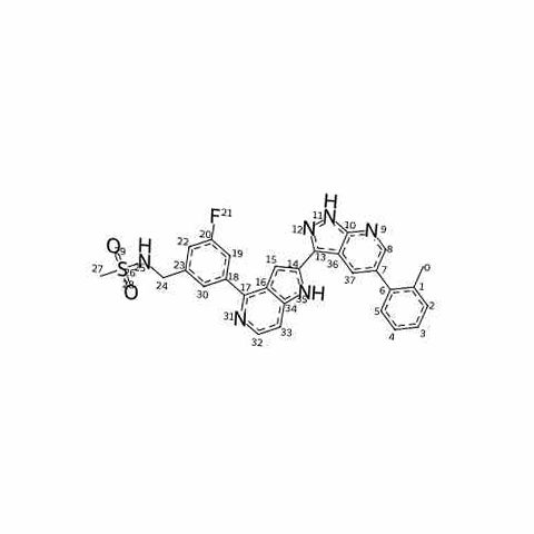 Cc1ccccc1-c1cnc2[nH]nc(-c3cc4c(-c5cc(F)cc(CNS(C)(=O)=O)c5)nccc4[nH]3)c2c1